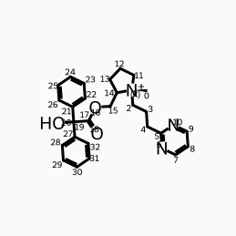 C[N@+]1(CCCc2ncccn2)CCCC1COC(=O)C(O)(c1ccccc1)c1ccccc1